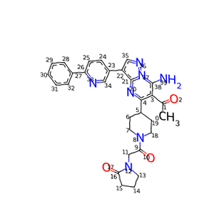 CC(=O)c1c(C2CCN(C(=O)CN3CCCC3=O)CC2)nc2c(-c3ccc(-c4ccccc4)nc3)cnn2c1N